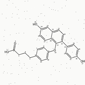 O=C(O)CCCc1ccc(Oc2c(-c3ccc(O)cc3)ccc3cc(O)ccc23)cc1